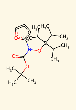 CC(C)[Si](ON(C(=O)OC(C)(C)C)c1ccco1)(C(C)C)C(C)C